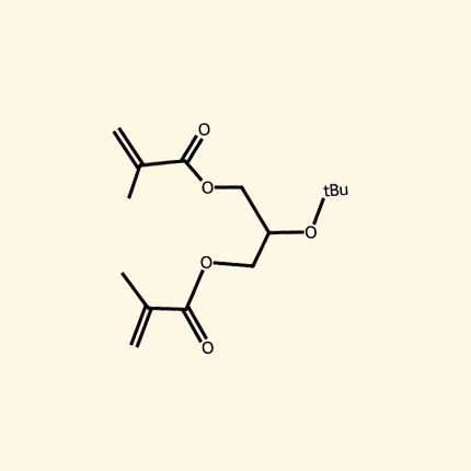 C=C(C)C(=O)OCC(COC(=O)C(=C)C)OC(C)(C)C